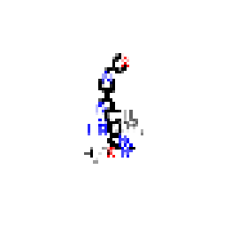 COc1cc(-c2[nH]nc(-c3ccc(C4CCN(CC5CCOCC5)CC4)cn3)c2C(C)C)cn2ncnc12